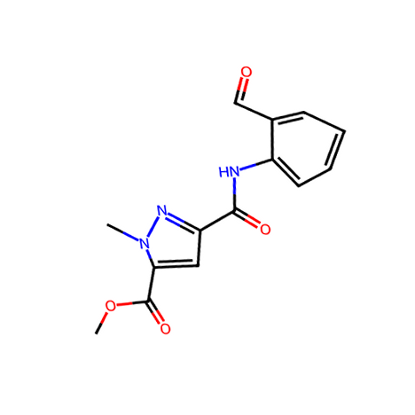 COC(=O)c1cc(C(=O)Nc2ccccc2C=O)nn1C